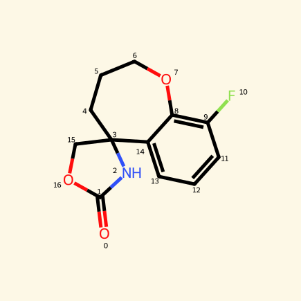 O=C1NC2(CCCOc3c(F)cccc32)CO1